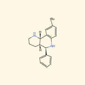 CC(C)(C)c1ccc2c(c1)[C@H]1NCCC[C@H]1[C@H](c1ccccc1)N2